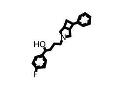 OC(CCCN1CC2CC(c3ccccc3)C2C1)c1ccc(F)cc1